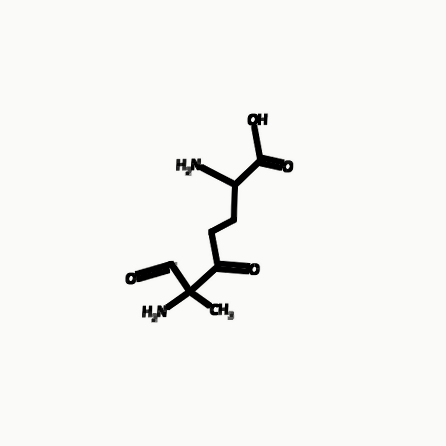 CC(N)([C]=O)C(=O)CCC(N)C(=O)O